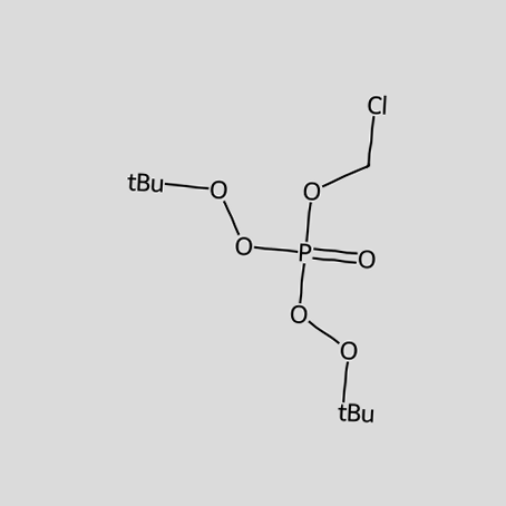 CC(C)(C)OOP(=O)(OCCl)OOC(C)(C)C